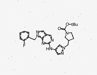 CC(C)(C)OC(=O)N1CCC(Cn2cc(Nc3ncc4cnn(Cc5ccccc5F)c4n3)cn2)C1